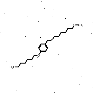 CCCCCCCOc1ccc(COCCCCCCOC)cc1